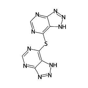 c1nc(Sc2ncnc3nn[nH]c23)c2[nH]nnc2n1